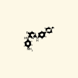 CN1CCN(c2ccc(Nc3ncc(F)c(Nc4ccc(N)cc4)n3)cc2)CC1